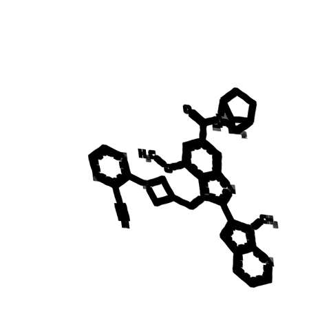 COc1cc(C(=O)N2CC3CCC2[C@@H]3N)cc2nc(-c3cc4cccnc4n3C)n(CC3CN(c4nccnc4C#N)C3)c12